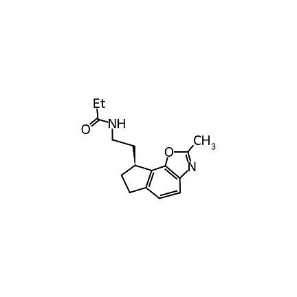 CCC(=O)NCC[C@@H]1CCc2ccc3nc(C)oc3c21